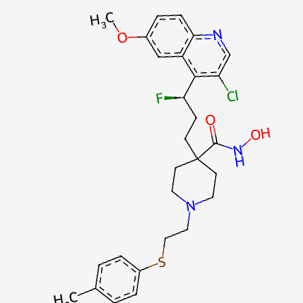 COc1ccc2ncc(Cl)c([C@H](F)CCC3(C(=O)NO)CCN(CCSc4ccc(C)cc4)CC3)c2c1